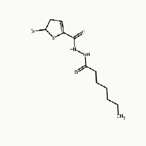 CCCCCCC(=O)NNC(=O)C1=CCC(Br)S1